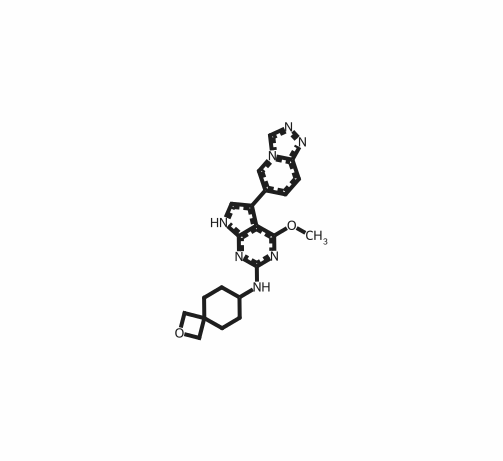 COc1nc(NC2CCC3(CC2)COC3)nc2[nH]cc(-c3ccc4nncn4c3)c12